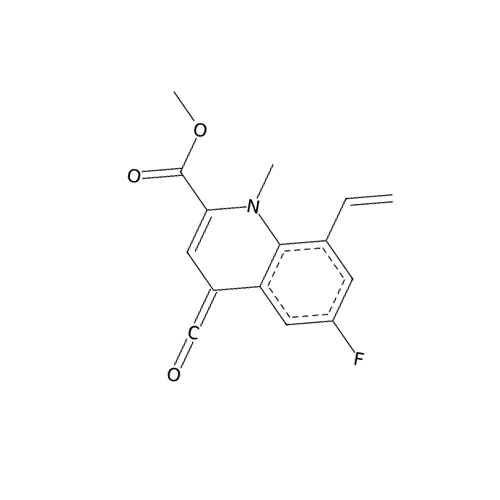 C=Cc1cc(F)cc2c1N(C)C(C(=O)OC)=CC2=C=O